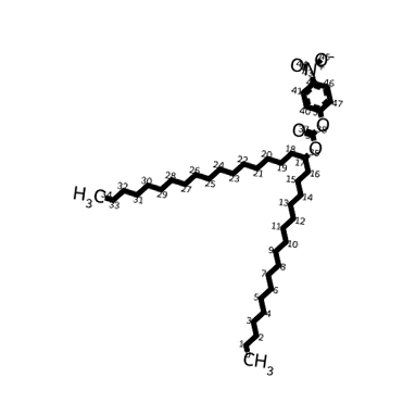 CCCCCCCCCCCCCCCCCC(CCCCCCCCCCCCCCCCC)OC(=O)Oc1ccc([N+](=O)[O-])cc1